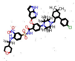 [2H]C([2H])(Nc1ccc(S(=O)(=O)NC(=O)c2ccc(N3C([2H])([2H])C([2H])([2H])N(CC4=C(c5ccc(Cl)cc5)CC(C)(C)CC4)C([2H])([2H])C3([2H])[2H])cc2Oc2cnc3[nH]ccc3c2)cc1[N+](=O)[O-])C1CCOCC1